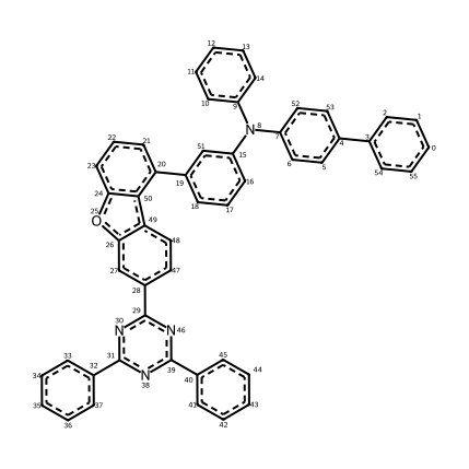 c1ccc(-c2ccc(N(c3ccccc3)c3cccc(-c4cccc5oc6cc(-c7nc(-c8ccccc8)nc(-c8ccccc8)n7)ccc6c45)c3)cc2)cc1